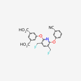 N#Cc1cccc(Oc2nc(Oc3cc(C(=O)O)cc(C(=O)O)c3)c(CF)cc2CF)c1